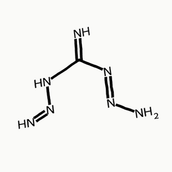 N=NNC(=N)N=NN